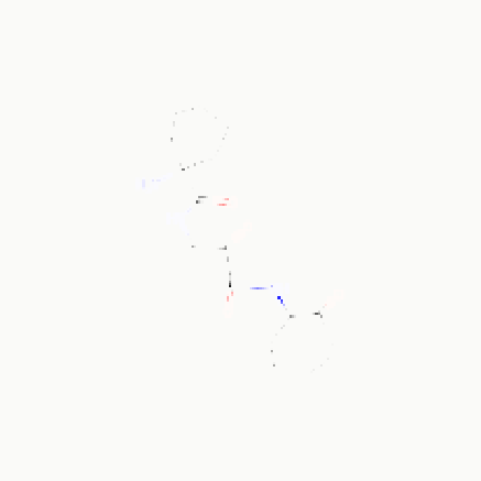 CCCC[C@H](NC(=O)C1(N)CCCCC1)C(=O)C(=O)N[C@@H]1CCCCC1=O